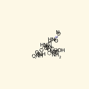 Cc1ccccc1NC(=O)Nc1ccc(CC(=O)N[C@@H](CCCCNC(=O)/C=C/c2cccnc2)C(=O)N[C@@H](CCCC(=O)O)C(=O)NC2(C(N)=O)CCCCC2)cc1